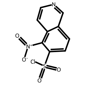 O=[N+]([O-])c1c(S(=O)(=O)Cl)ccc2cnccc12